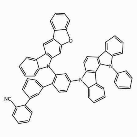 N#Cc1ccccc1-c1cccc(-c2ccc(-n3c4ccccc4c4c3ccc3c5ccccc5n(-c5ccccc5)c34)cc2-n2c3ccccc3c3cc4c(cc32)oc2ccccc24)c1